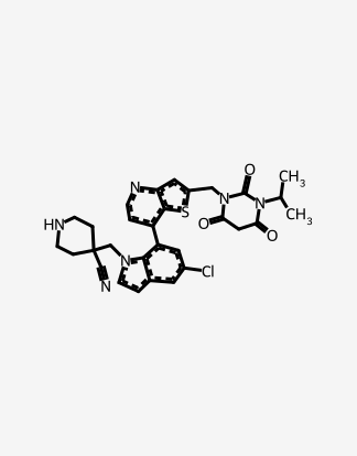 CC(C)N1C(=O)CC(=O)N(Cc2cc3nccc(-c4cc(Cl)cc5ccn(CC6(C#N)CCNCC6)c45)c3s2)C1=O